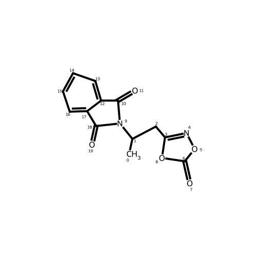 CC(Cc1noc(=O)o1)N1C(=O)c2ccccc2C1=O